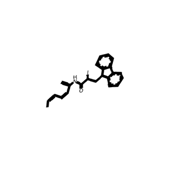 C=C(/C=C\C=C/C)NC(=O)C(I)CC1c2ccccc2-c2ccccc21